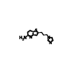 Nc1ccc2sc(CCCn3ccnc3)cc2n1